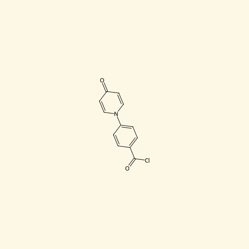 O=C(Cl)c1ccc(-n2ccc(=O)cc2)cc1